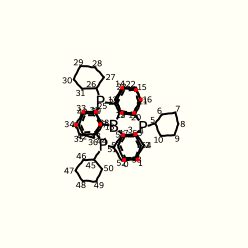 c1ccc(P(C2CCCCC2)C2CCCCC2)c(B(c2ccccc2P(C2CCCCC2)C2CCCCC2)c2ccccc2P(C2CCCCC2)C2CCCCC2)c1